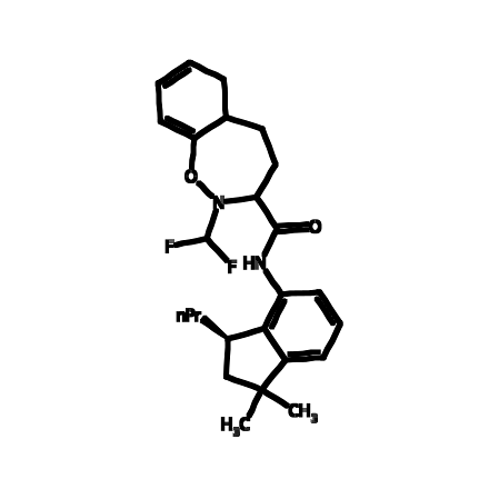 CCC[C@@H]1CC(C)(C)c2cccc(NC(=O)C3CCC4CC=CC=C4ON3C(F)F)c21